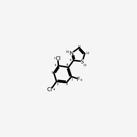 Fc1cc(Cl)cc(Cl)c1-c1nccs1